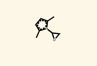 Cc1ccc(C)n1C1CO1